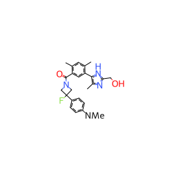 CNc1ccc(C2(F)CN(C(=O)c3cc(-c4[nH]c(CO)nc4C)c(C)cc3C)C2)cc1